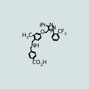 Cc1cc(OCc2c(C(C)C)nnn2-c2ccccc2C(F)(F)F)ccc1CNCc1ccc(C(=O)O)cc1